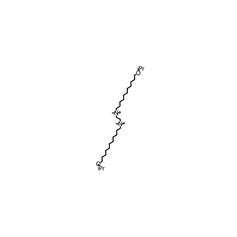 CC(C)OCCCCCCCCCCC[N+](C)(C)CC[N+](C)(C)CCCCCCCCCCCOC(C)C